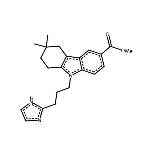 COC(=O)c1ccc2c(c1)c1c(n2CCCc2ncc[nH]2)CCC(C)(C)C1